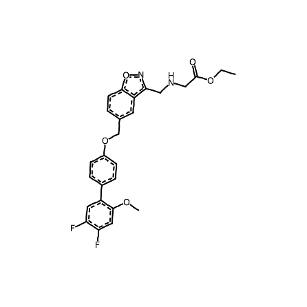 CCOC(=O)CNCc1noc2ccc(COc3ccc(-c4cc(F)c(F)cc4OC)cc3)cc12